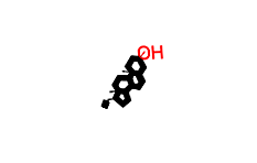 C=C[C@H]1CCC2C3CC=C4C[C@@H](O)CC[C@]4(C)C3CC[C@@]21C